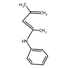 C=C(C)/C=C(\C)Nc1ccccc1